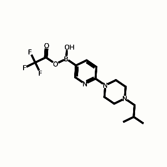 CC(C)CN1CCN(c2ccc(B(O)OC(=O)C(F)(F)F)cn2)CC1